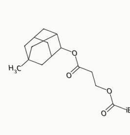 CCC(C)C(=O)OCCC(=O)OC1C2CC3CC1CC(C)(C3)C2